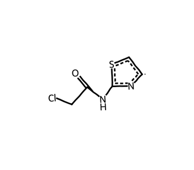 O=C(CCl)Nc1n[c]cs1